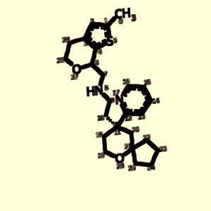 Cc1cc2c(s1)C(CNCC[C@@]1(c3ccccn3)CCOC3(CCCC3)C1)OCC2